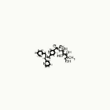 C[C@H](CO)[C@@H](O)[C@H](O)[C@@H](O)CN(C)C(=O)c1ccc(CN(Cc2ccccn2)Cc2ccccn2)nc1